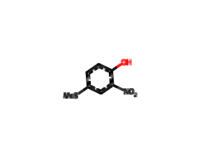 CSc1ccc(O)c([N+](=O)[O-])c1